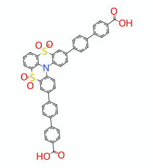 O=C(O)c1ccc(-c2ccc(-c3ccc4c(c3)S(=O)(=O)c3cccc5c3N4c3ccc(-c4ccc(-c6ccc(C(=O)O)cc6)cc4)cc3S5(=O)=O)cc2)cc1